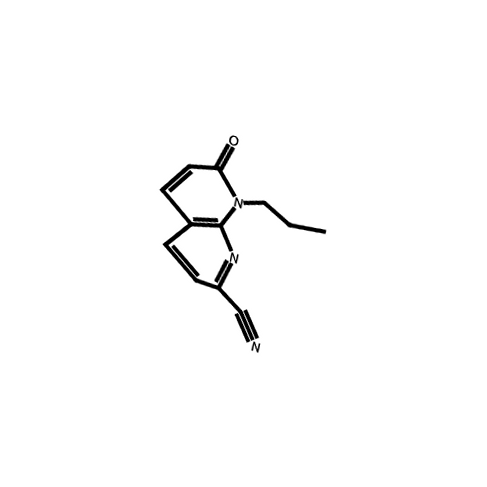 CCCn1c(=O)ccc2ccc(C#N)nc21